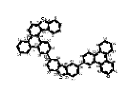 c1ccc2c(c1)sc1ccc3c4ccccc4c4cc(-c5ccc6sc7ccc(-c8ccc9c%10ccccc%10c%10ccccc%10c9c8)cc7c6c5)ccc4c3c12